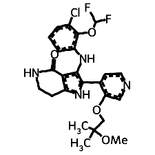 COC(C)(C)COc1cnccc1-c1[nH]c2c(c1Nc1cccc(Cl)c1OC(F)F)C(=O)NCC2